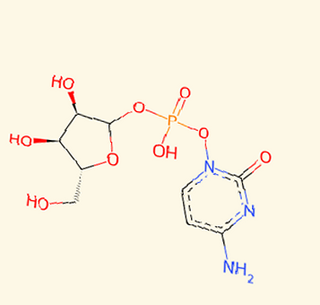 Nc1ccn(OP(=O)(O)OC2O[C@H](CO)[C@@H](O)[C@H]2O)c(=O)n1